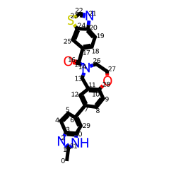 Cc1nc2ccc(-c3ccc4c(c3)CN(C(=O)c3ccc5ncsc5c3)CCO4)cc2[nH]1